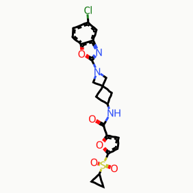 O=C(NC1CC2(C1)CN(c1nc3cc(Cl)ccc3o1)C2)c1ccc(S(=O)(=O)C2CC2)o1